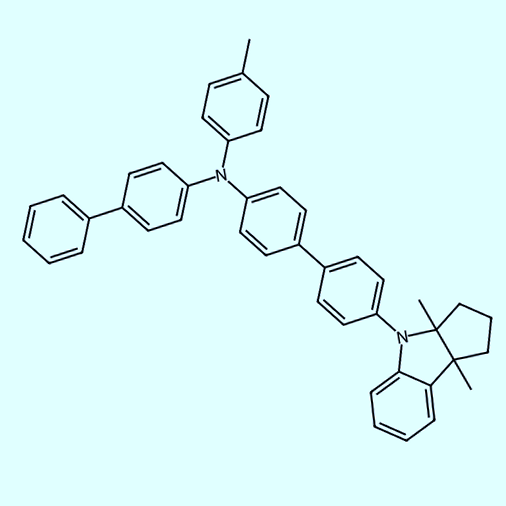 Cc1ccc(N(c2ccc(-c3ccccc3)cc2)c2ccc(-c3ccc(N4c5ccccc5C5(C)CCCC45C)cc3)cc2)cc1